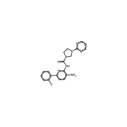 Nc1ccc(-c2ccccc2F)nc1NC(=O)N1CC[C@@H](c2ncccn2)C1